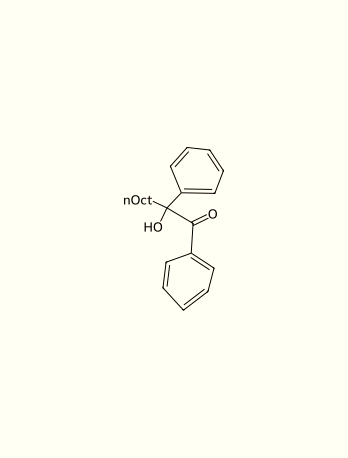 CCCCCCCCC(O)(C(=O)c1ccccc1)c1ccccc1